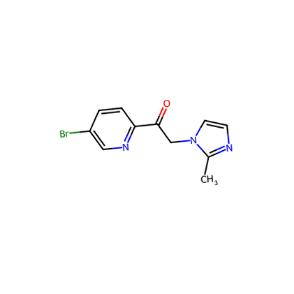 Cc1nccn1CC(=O)c1ccc(Br)cn1